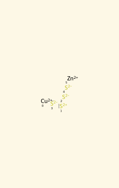 [Cu+2].[S+2].[S-2].[S-2].[S-2].[Zn+2]